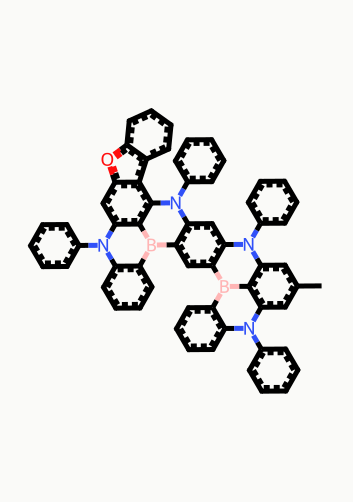 Cc1cc2c3c(c1)N(c1ccccc1)c1cc4c(cc1B3c1ccccc1N2c1ccccc1)B1c2ccccc2N(c2ccccc2)c2cc3oc5ccccc5c3c(c21)N4c1ccccc1